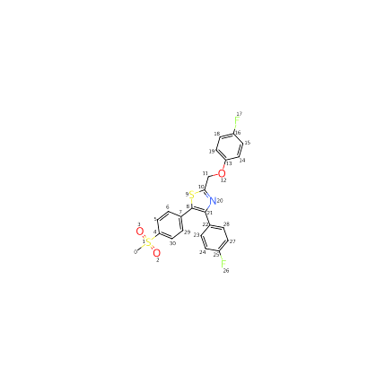 CS(=O)(=O)c1ccc(-c2sc(COc3ccc(F)cc3)nc2-c2ccc(F)cc2)cc1